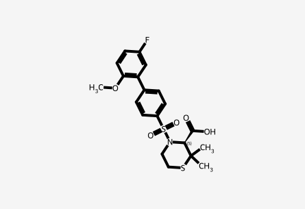 COc1ccc(F)cc1-c1ccc(S(=O)(=O)N2CCSC(C)(C)[C@@H]2C(=O)O)cc1